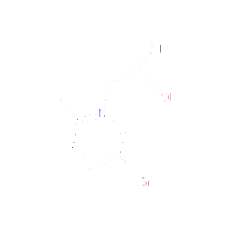 CC(O)Cn1cc(Br)ccc1=O